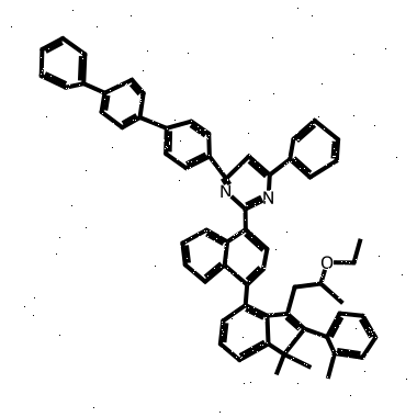 CCOC(C)CC1=C(c2ccccc2C)C(C)(C)c2cccc(-c3ccc(-c4nc(-c5ccccc5)cc(-c5ccc(-c6ccc(-c7ccccc7)cc6)cc5)n4)c4ccccc34)c21